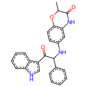 CC1Oc2ccc(NC(C(=O)c3c[nH]c4ccccc34)c3ccccc3)cc2NC1=O